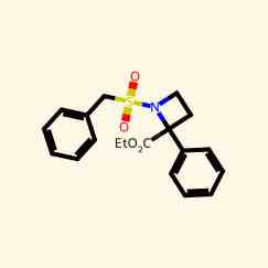 CCOC(=O)C1(c2ccccc2)CCN1S(=O)(=O)Cc1ccccc1